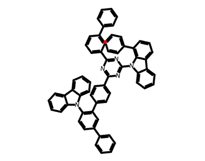 c1ccc(-c2cccc(-c3nc(-c4ccc(-c5cc(-c6ccccc6)ccc5-n5c6ccccc6c6ccccc65)cc4)nc(-n4c5ccccc5c5cccc(-c6ccccc6)c54)n3)c2)cc1